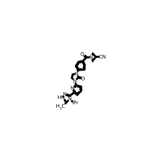 CC(C)N1C(c2cccc(N3CCN(c4ccc(C(=O)N5CC(C#N)C5)cc4)C3=O)n2)=NNC1C